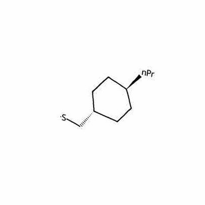 CCC[C@H]1CC[C@H](C[S])CC1